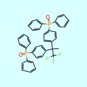 CC(c1ccc(P(=O)(c2ccccc2)c2ccccc2)cc1)(c1ccc(P(=O)(c2ccccc2)c2ccccc2)cc1)C(F)(F)F